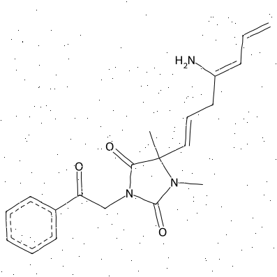 C=C/C=C(\N)C/C=C/C1(C)C(=O)N(CC(=O)c2ccccc2)C(=O)N1C